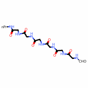 CCCNC(=O)CNC(=O)CNC(=O)CNC(=O)CNC(=O)CNC(=O)CNC=O